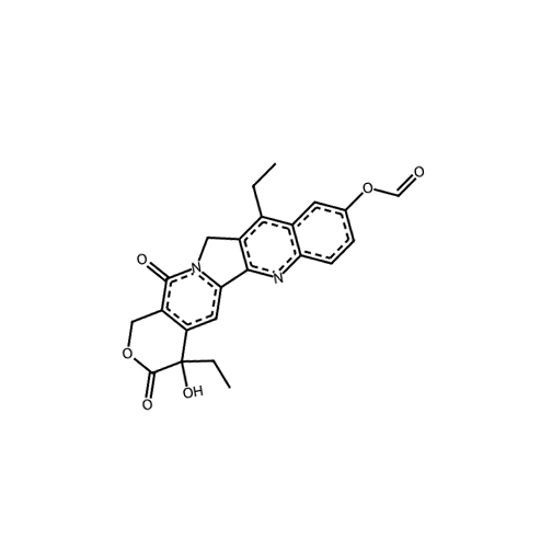 CCc1c2c(nc3ccc(OC=O)cc13)-c1cc3c(c(=O)n1C2)COC(=O)C3(O)CC